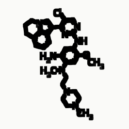 COc1cc(N(C)CCN2CCN(C)CC2)c(N)cc1Nc1ncc(Cl)c(-c2cn3c4c(cccc24)CCC3)n1